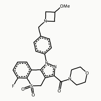 COC1CN(Cc2ccc(-n3nc(C(=O)N4CCOCC4)c4c3-c3cccc(F)c3S(=O)(=O)C4)cc2)C1